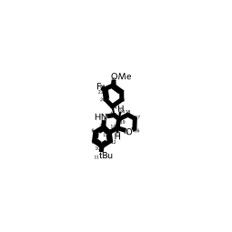 COC1=CCC([C@@H]2Nc3ccc(C(C)(C)C)cc3[C@H]3OCCC[C@H]32)C=C1F